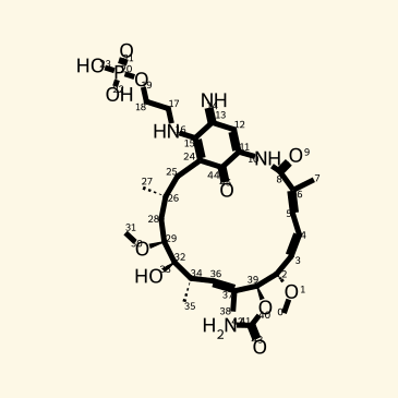 CO[C@H]1/C=C\C=C(/C)C(=O)NC2=CC(=N)C(NCCOP(=O)(O)O)=C(C[C@@H](C)C[C@H](OC)[C@H](O)[C@@H](C)/C=C(\C)[C@@H]1OC(N)=O)C2=O